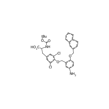 CC(C)(C)OC(=O)NC(Cc1cc(Cl)c(OCc2cc(N)ccc2OCc2ccc3ccccc3c2)c(Cl)c1)C(=O)O